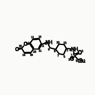 CC(C)(C)S(=O)(=O)NC1CCC(CNc2ccc3oc(=O)ccc3c2)CC1